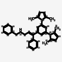 Cc1ccc(C)n1-c1cc(C(=CCNCc2ccccc2)c2ccccc2)cc(-n2c(C)ccc2C)n1